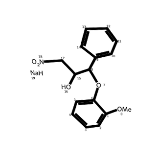 COc1ccccc1OC(c1ccccc1)C(O)C[N+](=O)[O-].[NaH]